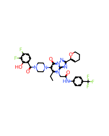 CCc1c(N2CCN(C(=O)c3ccc(F)c(F)c3O)CC2)c(=O)n2nc(C3=CCCCO3)nc2n1CC(=O)Nc1ccc(C(F)(F)F)cc1